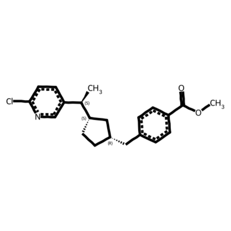 COC(=O)c1ccc(C[C@@H]2CC[C@H]([C@H](C)c3ccc(Cl)nc3)C2)cc1